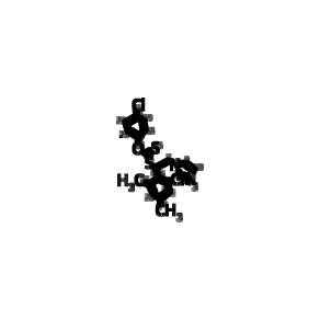 Cc1cc(C)c(C(Cn2ccnc2)SC(=S)Oc2ccc(Cl)cc2)c(C)c1